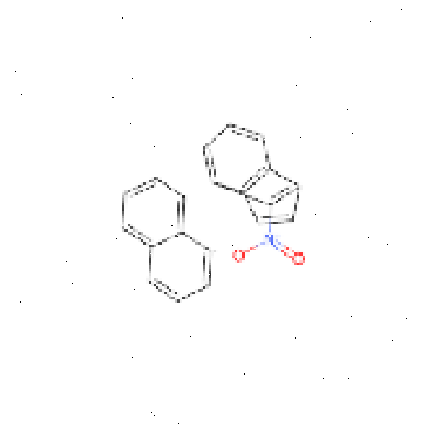 O=[N+]([O-])C1=C2C=Cc3c2cccc31.[c]1cccc2ccccc12